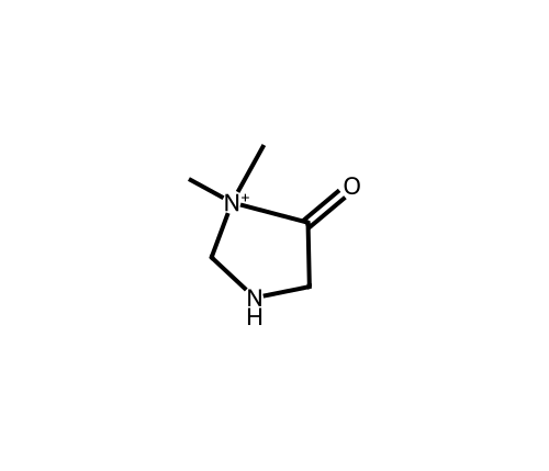 C[N+]1(C)CNCC1=O